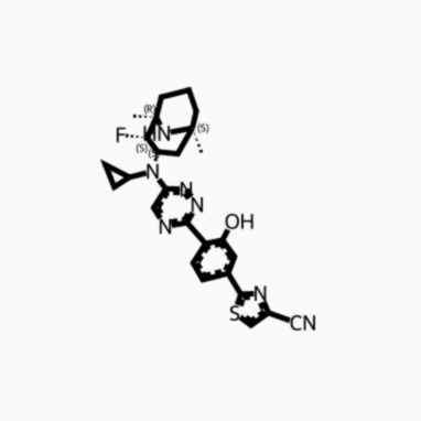 C[C@@]12CCC[C@@](C)(N1)[C@@H](F)[C@@H](N(c1cnc(-c3ccc(-c4nc(C#N)cs4)cc3O)nn1)C1CC1)C2